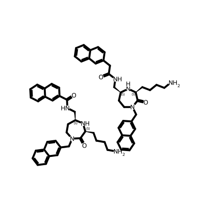 NCCCC[C@@H]1N[C@H](CNC(=O)Cc2ccc3ccccc3c2)CCN(Cc2ccc3ccccc3c2)C1=O.NCCCC[C@@H]1N[C@H](CNC(=O)c2ccc3ccccc3c2)CCN(Cc2ccc3ccccc3c2)C1=O